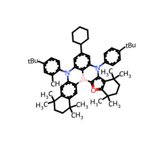 Cc1cc(C(C)(C)C)ccc1N1c2cc3c(cc2B2c4oc5c(c4N(c4ccc(C(C)(C)C)cc4)c4cc(C6CCCCC6)cc1c42)C(C)(C)CCC5(C)C)C(C)(C)CCC3(C)C